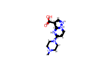 CN1CCN(c2ccn3ncc(C(=O)O)c3n2)CC1